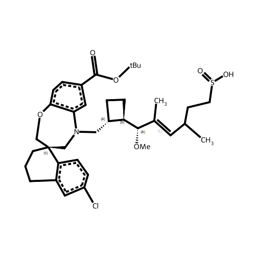 CO[C@@H](/C(C)=C/C(C)CCS(=O)O)[C@@H]1CC[C@H]1CN1C[C@@]2(CCCc3cc(Cl)ccc32)COc2ccc(C(=O)OC(C)(C)C)cc21